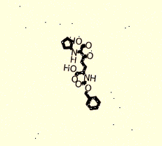 O=C(NC(CCC(=O)C(NC1CCCC1)C(=O)O)C(=O)O)OCc1ccccc1